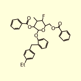 CCc1ccc(Cc2ccccc2OC2OC(COC(=O)c3ccccc3)C(F)C(C)C2OC(=O)c2ccccc2)cc1